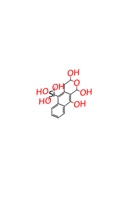 Oc1c2c(c([Si](O)(O)O)c3ccccc13)CC(O)OC2O